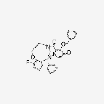 O=C1c2c(OCc3ccccc3)c(=O)ccn2N2CN1C/C=C\COc1c(F)cccc1[C@H]2c1ccccc1